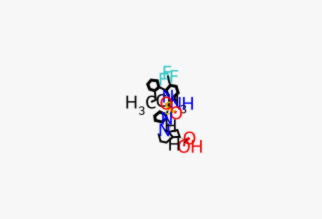 CC(C)c1ccccc1-c1nc(NS(=O)(=O)c2cccc(N3CCC[C@@H]4[C@@H](C(=O)O)C[C@@H]43)n2)ccc1C(F)(F)F